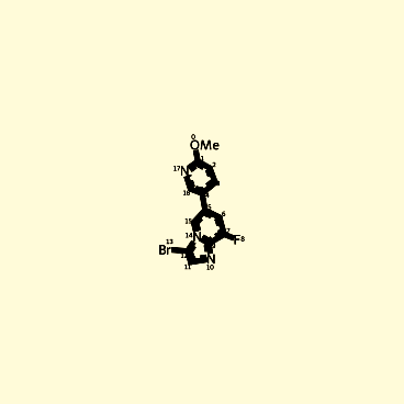 COc1ccc(-c2cc(F)c3ncc(Br)n3c2)cn1